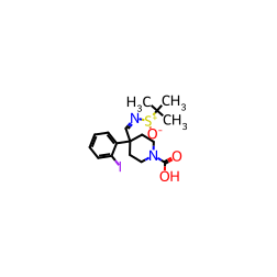 CC(C)(C)[S+]([O-])/N=C\C1(c2ccccc2I)CCN(C(=O)O)CC1